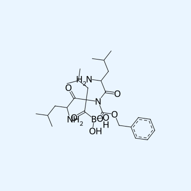 CC(C)CC(N)C(=O)N(C(=O)OCc1ccccc1)C(CC(C)C)(C(=O)B(O)O)C(=O)C(N)CC(C)C